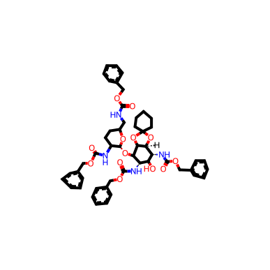 O=C(NCC1CCC(NC(=O)OCc2ccccc2)[C@@H](OC2C3OC4(CCCCC4)O[C@H]3[C@H](NC(=O)OCc3ccccc3)C(O)[C@@H]2NC(=O)OCc2ccccc2)O1)OCc1ccccc1